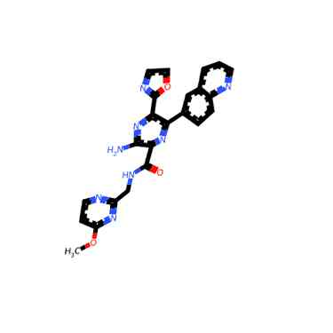 COc1ccnc(CNC(=O)c2nc(-c3ccc4ncccc4c3)c(-c3ncco3)nc2N)n1